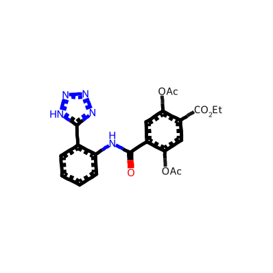 CCOC(=O)c1cc(OC(C)=O)c(C(=O)Nc2ccccc2-c2nnn[nH]2)cc1OC(C)=O